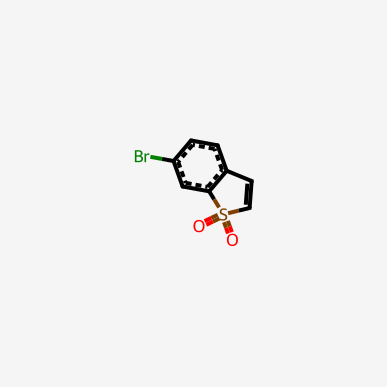 O=S1(=O)C=Cc2ccc(Br)cc21